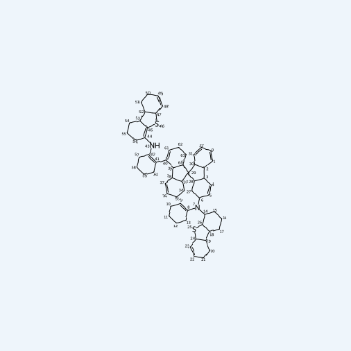 C1=CC2C3C=CC(N(C4=CCCCC4)C4CCCC5C6CCC=CC6SC54)CC3C3(C2C=C1)C1CCC=CC1C1C(C2=C(NC4=C5SC6C=CCCC6C5CCC4)CCCC2)=CCCC13